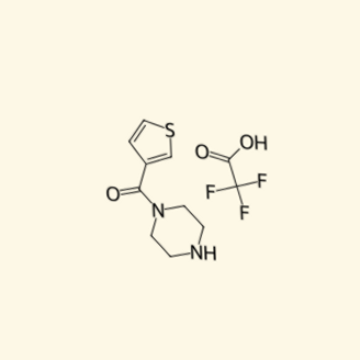 O=C(O)C(F)(F)F.O=C(c1ccsc1)N1CCNCC1